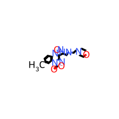 Cc1cccc(-n2c(-c3nonc3CNCCN3CCOCC3)noc2=O)c1